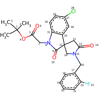 CC(C)(C)OC(=O)CN1C(=O)C2(CC(=O)N(Cc3ccccc3F)C2)c2cc(Cl)ccc21